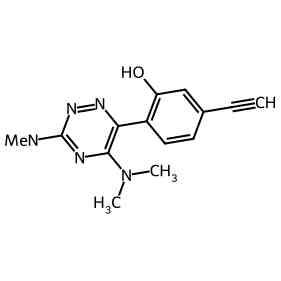 C#Cc1ccc(-c2nnc(NC)nc2N(C)C)c(O)c1